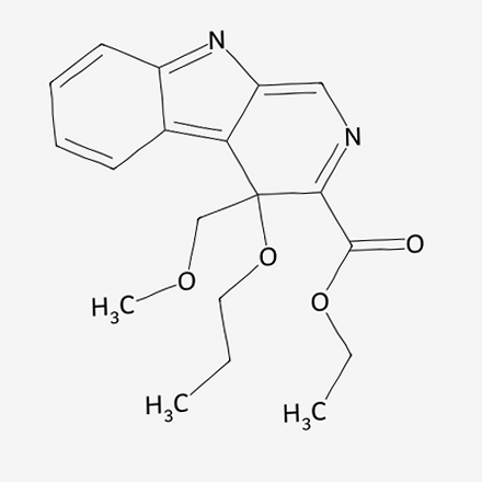 CCCOC1(COC)C(C(=O)OCC)=NC=C2N=c3ccccc3=C21